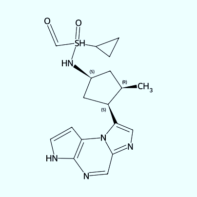 C[C@@H]1C[C@H](N[SH](=O)(C=O)C2CC2)C[C@@H]1c1cnc2cnc3[nH]ccc3n12